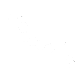 Cc1cc2cnc(NC(=O)[C@H]3[C@@H](C)[C@@H]3c3cnn(C)c3)cc2cc1N1CCN([C@@]2(C)CCOC2)CC1